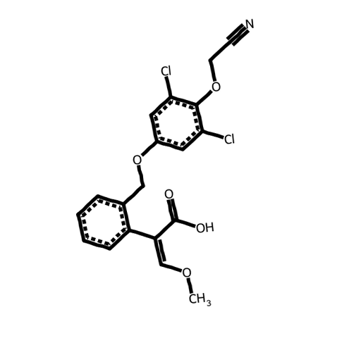 COC=C(C(=O)O)c1ccccc1COc1cc(Cl)c(OCC#N)c(Cl)c1